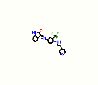 O=C1Nc2ccccc2/C1=C\Nc1ccc(NCCc2ccncc2)c(C(F)(F)F)c1